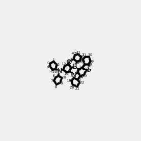 c1ccc(N(c2ccccc2)c2cc3c4c(c2)-n2c5ccccc5c5cc6sc7ccccc7c6c(c52)B4c2ccccc2O3)cc1